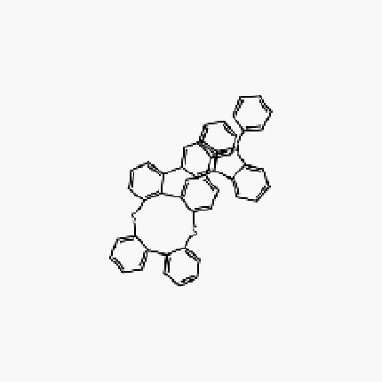 c1ccc(-c2ccc3c(c2)-c2c(cccc2-c2ccc4c(c2)c2ccccc2n4-c2ccccc2)Sc2ccccc2-c2ccccc2S3)cc1